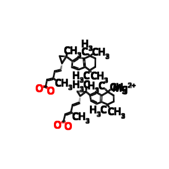 CC(/C=C/[C@@H]1C[C@]1(C)c1ccc2c(c1)C(C)(C)CCC2(C)C)=C\C(=O)[O-].CC(/C=C/[C@@H]1C[C@]1(C)c1ccc2c(c1)C(C)(C)CCC2(C)C)=C\C(=O)[O-].[Mg+2]